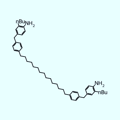 CCCCc1cc(Cc2ccc(CCCCCCCCCCCCCCCc3ccc(Cc4ccc(N)c(CCCC)c4)cc3)cc2)ccc1N